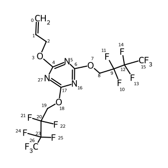 C=CCOc1nc(OCC(F)(F)C(F)(F)C(F)(F)F)nc(OCC(F)(F)C(F)(F)C(F)(F)F)n1